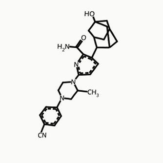 CC1CN(c2ccc(C#N)cc2)CCN1c1ccc(C2C3CC4CC2CC(O)(C4)C3)c(C(N)=O)n1